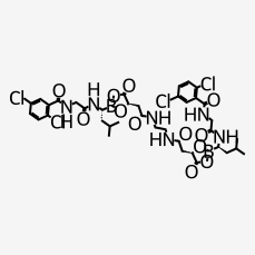 CC(C)C[C@H](NC(=O)CNC(=O)c1cc(Cl)ccc1Cl)B1OC(=O)[C@@H](CC(=O)NCCNC(=O)C[C@H]2OB([C@H](CC(C)C)NC(=O)CNC(=O)c3cc(Cl)ccc3Cl)OC2=O)O1